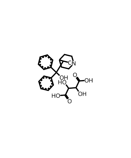 O=C(O)C(O)C(O)C(=O)O.OC(c1ccccc1)(c1ccccc1)C1CN2CCC1CC2